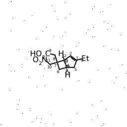 CCC1=C[C@@H]2[C@H](C1)CC2(CC(=O)O)C[N+](=O)[O-]